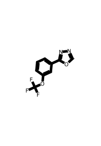 FC(F)(F)Oc1cccc(-c2nn[c]o2)c1